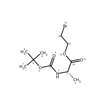 C[C@H](NC(=O)OC(C)(C)C)C(=O)OCCBr